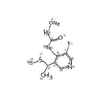 CONC(=O)Nc1c(F)cncc1C(C)SS